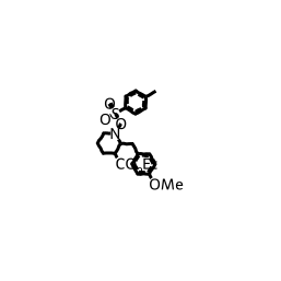 CCOC(=O)C1CCCN(OS(=O)(=O)c2ccc(C)cc2)C1Cc1ccc(OC)cc1